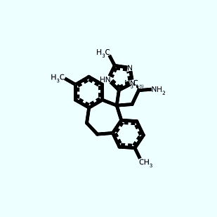 Cc1ccc2c(c1)CCc1cc(C)ccc1C2(C[C@H](C)N)c1nnc(C)[nH]1